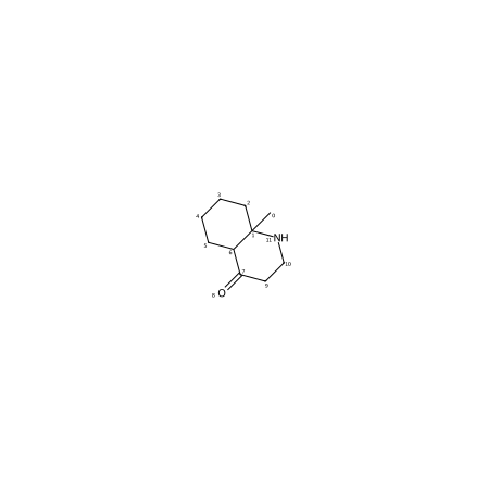 CC12CCCCC1C(=O)CCN2